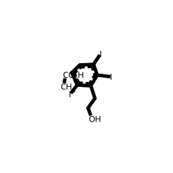 CC(=O)O.OCCc1c(I)ccc(I)c1I